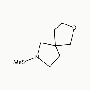 CSN1CCC2(CCOC2)C1